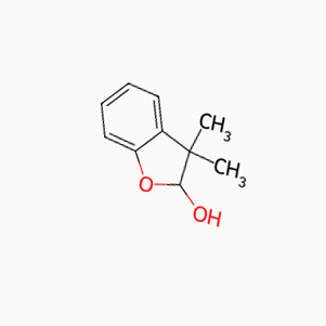 CC1(C)c2ccccc2OC1O